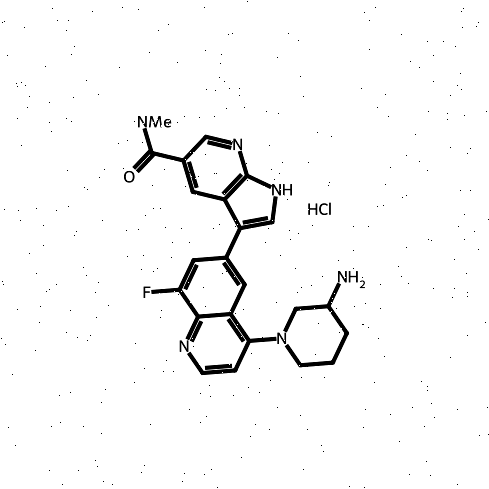 CNC(=O)c1cnc2[nH]cc(-c3cc(F)c4nccc(N5CCCC(N)C5)c4c3)c2c1.Cl